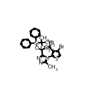 Cc1nnc(C(C)O[Si](c2ccccc2)(c2ccccc2)C(C)(C)C)n1-c1scc(Br)c1CCl